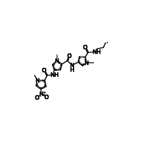 [CH2]CCNC(=O)c1cc(NC(=O)c2cc(NC(=O)c3cc([N+](=O)[O-])cn3C)cn2C)cn1C